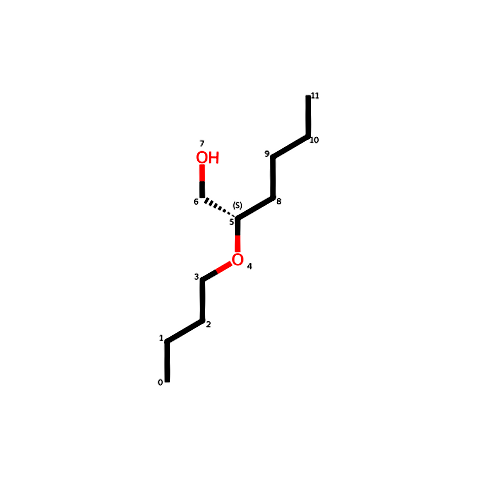 CCCCO[C@H](CO)CCCC